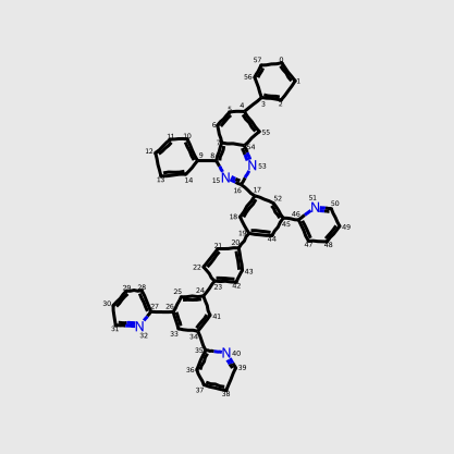 c1ccc(-c2ccc3c(-c4ccccc4)nc(-c4cc(-c5ccc(-c6cc(-c7ccccn7)cc(-c7ccccn7)c6)cc5)cc(-c5ccccn5)c4)nc3c2)cc1